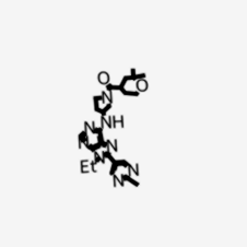 CCn1c(-c2cnc(C)nc2)nc2c(NC3CCN(C(=O)C4CCOC(C)(C)C4)C3)ncnc21